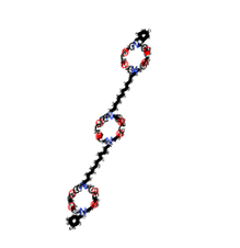 c1ccc(CN2CCOCCOCCN(CCCCCCCCCCCCN3CCOCCOCCN(CCCCCCCCCCCCN4CCOCCOCCN(Cc5ccccc5)CCOCCOCC4)CCOCCOCC3)CCOCCOCC2)cc1